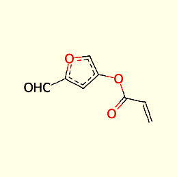 C=CC(=O)Oc1coc(C=O)c1